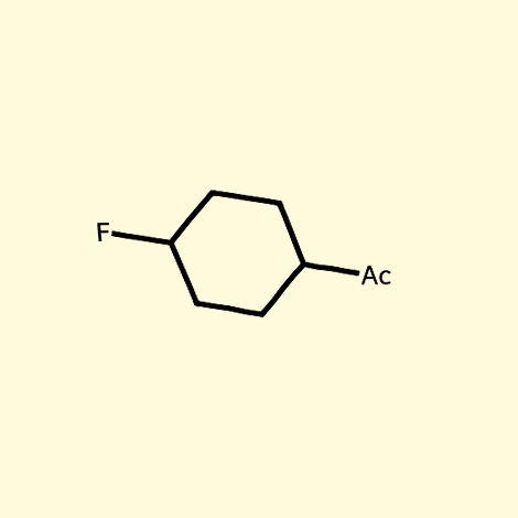 CC(=O)C1CCC(F)CC1